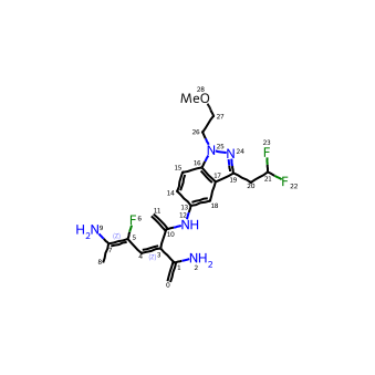 C=C(N)/C(=C/C(F)=C(\C)N)C(=C)Nc1ccc2c(c1)c(CC(F)F)nn2CCOC